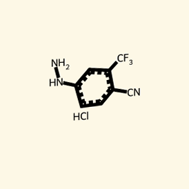 Cl.N#Cc1ccc(NN)cc1C(F)(F)F